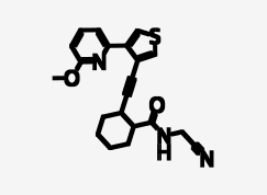 COc1cccc(-c2cscc2C#CC2CCCCC2C(=O)NCC#N)n1